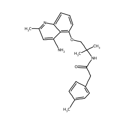 Cc1ccc(CC(=O)NC(C)(C)COc2cccc3nc(C)cc(N)c23)cc1